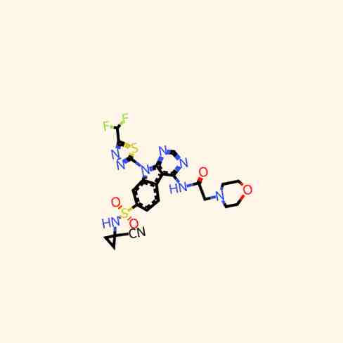 N#CC1(NS(=O)(=O)c2ccc3c4c(NC(=O)CN5CCOCC5)ncnc4n(-c4nnc(C(F)F)s4)c3c2)CC1